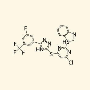 Fc1cc(-c2nnc(Sc3cc(Cl)nc([SH]4C=Nc5ccccc54)n3)[nH]2)cc(C(F)(F)F)c1